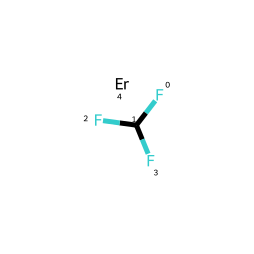 FC(F)F.[Er]